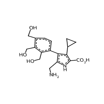 NCc1[nH]c(C(=O)O)c(C2CC2)c1-c1ccc(CO)c(CO)c1CO